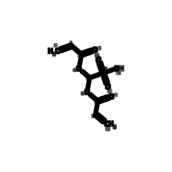 C=CC(=O)OC(OC(=O)C=C)S(=O)(=O)O